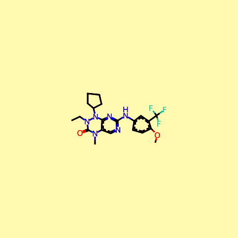 CCN1C(=O)N(C)c2cnc(Nc3ccc(OC)c(C(F)(F)F)c3)nc2N1C1CCCC1